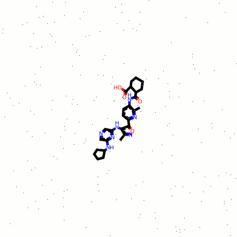 Cc1nc(-c2onc(C)c2Nc2cncc(NC3CCCC3)n2)ccc1NC(=O)C1CCCCC1C(=O)O